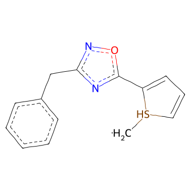 [CH2][SH]1C=CC=C1c1nc(Cc2ccccc2)no1